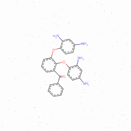 Nc1ccc(Oc2cccc(C(=O)c3ccccc3)c2Oc2ccc(N)cc2N)c(N)c1